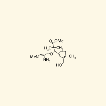 CN/C=C(\N)COC(c1ccc(C)c(CO)c1)C(C)(C)C(=O)OC